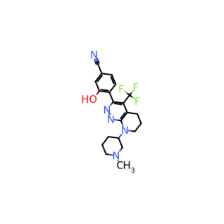 CN1CCC[C@@H](N2CCCc3c2nnc(-c2ccc(C#N)cc2O)c3C(F)(F)F)C1